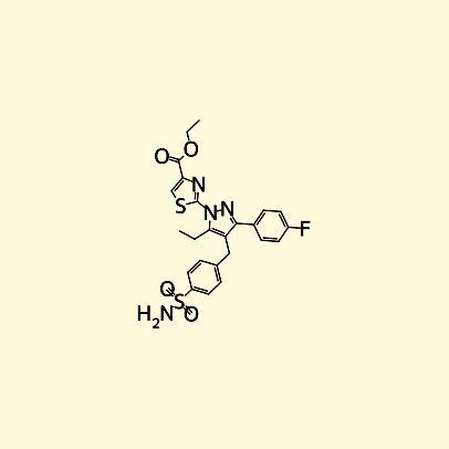 CCOC(=O)c1csc(-n2nc(-c3ccc(F)cc3)c(Cc3ccc(S(N)(=O)=O)cc3)c2CC)n1